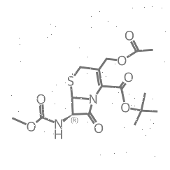 COC(=O)N[C@@H]1C(=O)N2C(C(=O)OC(C)(C)C)=C(COC(C)=O)CSC12